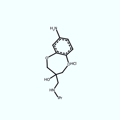 CC(C)NCC1(O)COc2ccc(N)cc2OC1.Cl